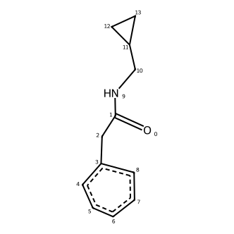 O=C(Cc1ccccc1)NCC1CC1